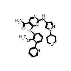 COc1c(Nc2nc(Nc3cnn(C4CCOCC4)c3)ncc2C(N)=O)cccc1-c1ccccn1